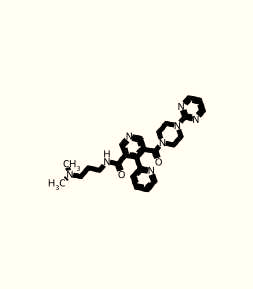 CN(C)CCCNC(=O)c1cn[c]c(C(=O)N2CCN(c3ncccn3)CC2)c1-c1ccccn1